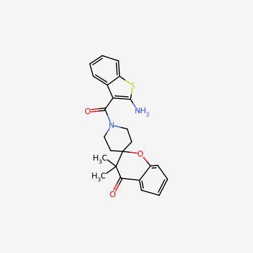 CC1(C)C(=O)c2ccccc2OC12CCN(C(=O)c1c(N)sc3ccccc13)CC2